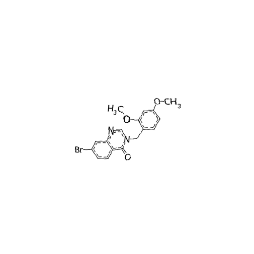 COc1ccc(Cn2cnc3cc(Br)ccc3c2=O)c(OC)c1